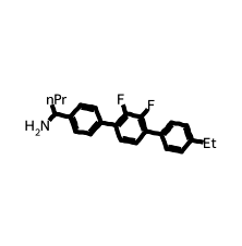 CCCC(N)c1ccc(-c2ccc(-c3ccc(CC)cc3)c(F)c2F)cc1